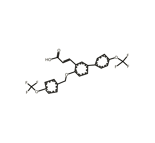 O=C(O)/C=C/c1cc(-c2ccc(OC(F)(F)F)cc2)ccc1OCc1ccc(OC(F)(F)F)cc1